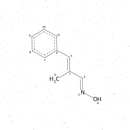 CC(/C=N/O)=C\c1ccccc1